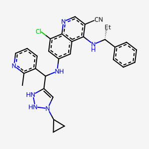 CC[C@@H](Nc1c(C#N)cnc2c(Cl)cc(NC(C3=CN(C4CC4)NN3)c3cccnc3C)cc12)c1ccccc1